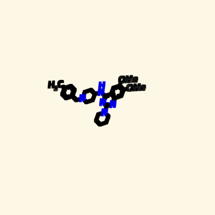 COc1cc2nc(N3CCCCC3)nc(NC3CCN(Cc4ccc(C)cc4)CC3)c2cc1OC